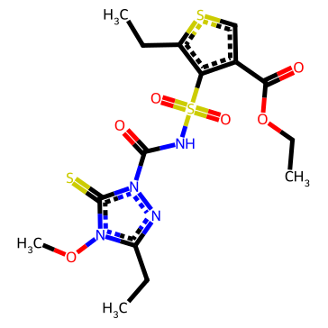 CCOC(=O)c1csc(CC)c1S(=O)(=O)NC(=O)n1nc(CC)n(OC)c1=S